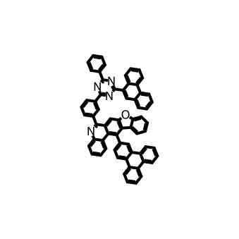 c1ccc(-c2nc(-c3cccc(-c4nc5ccccc5c5c(-c6ccc7c8ccccc8c8ccccc8c7c6)c6c(cc45)oc4ccccc46)c3)nc(-c3cc4ccccc4c4ccccc34)n2)cc1